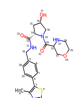 Cc1ncsc1-c1ccc(CNC(=O)[C@@H]2C[C@@H](O)CN2C(=O)C2COCCN2)cc1